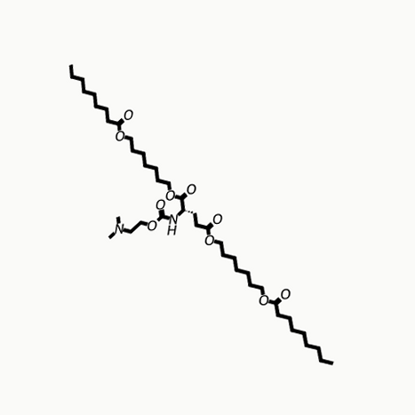 CCCCCCCCC(=O)OCCCCCCCOC(=O)CC[C@H](NC(=O)OCCN(C)C)C(=O)OCCCCCCCOC(=O)CCCCCCCC